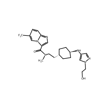 CN(CC[C@H]1CC[C@H](Nc2cnn(CCO)c2)CC1)C(=O)c1cnc2ccc(C(F)(F)F)cn12